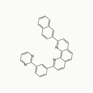 c1cnc(-c2cccc(-c3ccc4ccc5ccc(-c6ccc7ccccc7c6)nc5c4n3)c2)nc1